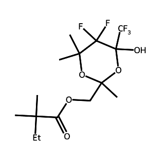 CCC(C)(C)C(=O)OCC1(C)OC(C)(C)C(F)(F)C(O)(C(F)(F)F)O1